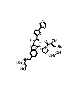 CC(C)(C)C=C(C#N)C(=O)N1CCC[C@@H]1Cn1c(NC(=O)c2ccc(-c3cnco3)s2)nc2cc(CN[C@H](CO)C(C)(C)C)ccc21.O=CO